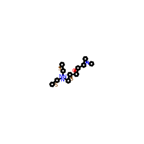 c1ccc(-n2c3ccccc3c3cc(-c4ccc5oc6c(-c7cccc8c7sc7cccc(-c9nc(-c%10ccc%11c(c%10)sc%10ccccc%10%11)nc(-c%10ccc%11c(c%10)sc%10ccccc%10%11)n9)c78)cccc6c5c4)ccc32)cc1